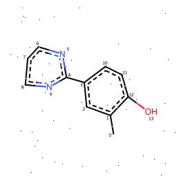 Cc1cc(-c2ncccn2)ccc1O